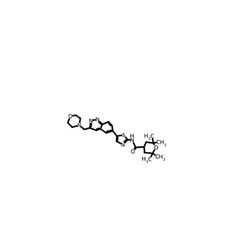 CC1(C)CC(C(=O)Nc2ncc(-c3ccc4nnc(CN5CCOCC5)cc4c3)s2)CC(C)(C)O1